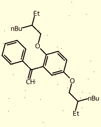 [CH]=C(c1cc[c]cc1)c1cc(OCC(CC)CCCC)ccc1OCC(CC)CCCC